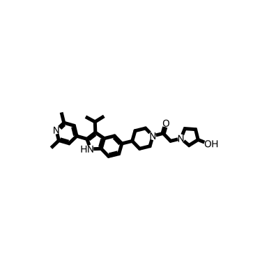 Cc1cc(-c2[nH]c3ccc(C4CCN(C(=O)CN5CCC(O)C5)CC4)cc3c2C(C)C)cc(C)n1